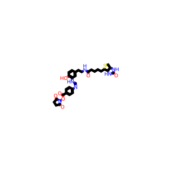 O=C(CCCCC1SCC2NC(=O)NC21)NCCc1ccc(O)c(N/C=N\c2ccc(C(=O)ON3C(=O)CCC3=O)cc2)c1